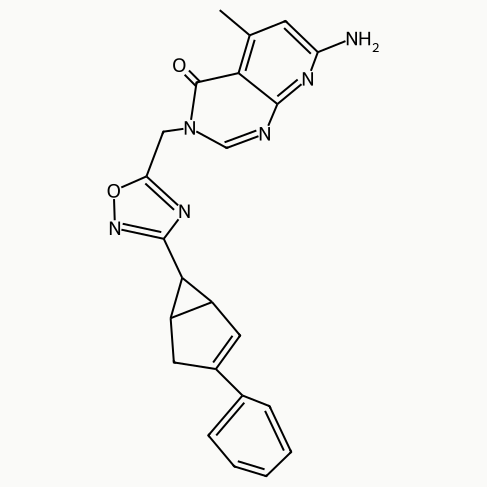 Cc1cc(N)nc2ncn(Cc3nc(C4C5C=C(c6ccccc6)CC54)no3)c(=O)c12